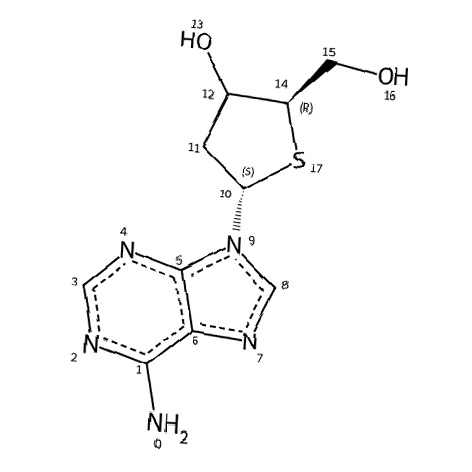 Nc1ncnc2c1ncn2[C@@H]1CC(O)[C@@H](CO)S1